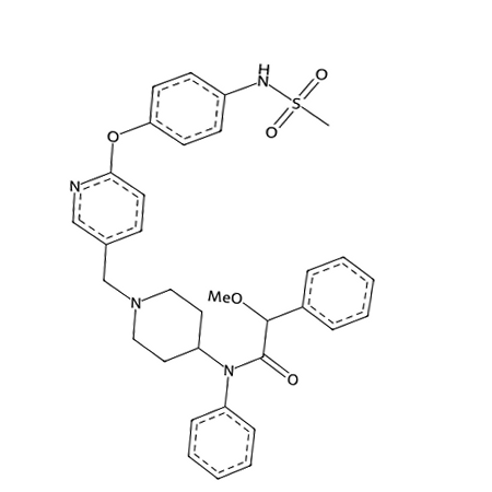 COC(C(=O)N(c1ccccc1)C1CCN(Cc2ccc(Oc3ccc(NS(C)(=O)=O)cc3)nc2)CC1)c1ccccc1